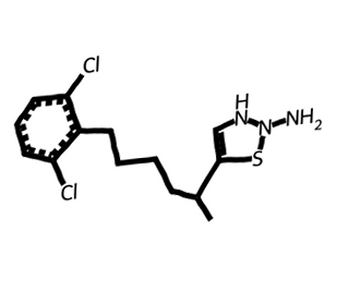 CC(CCCCc1c(Cl)cccc1Cl)C1=CNN(N)S1